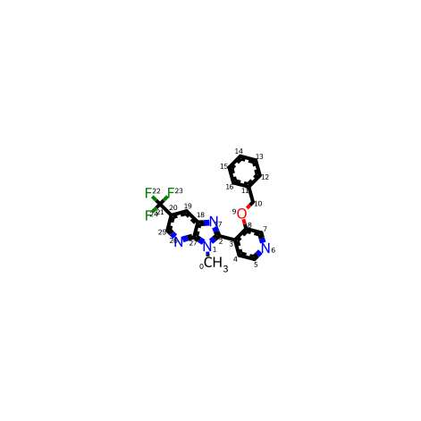 Cn1c(-c2ccncc2OCc2ccccc2)nc2cc(C(F)(F)F)cnc21